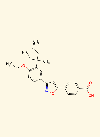 C=CCC(C)(CC)c1cc(-c2cc(-c3ccc(C(=O)O)cc3)on2)ccc1OCC